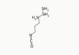 O=C=NCCC[SiH2][SiH2][SiH3]